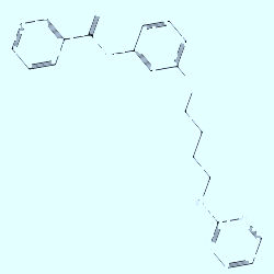 O=C(Nc1[c]c(OCCCCNc2ncccn2)ccc1)c1ccccc1